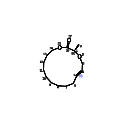 C[C@H]1OC/C=C/CCCCCCCCCOC1=O